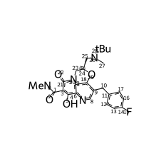 CNC(=O)c1c(O)c2ncc(Cc3ccc(F)cc3)c3c2n(c1=O)C[C@@H](CN(C)C(C)(C)C)O3